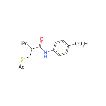 CC(=O)SCC(C(=O)Nc1ccc(C(=O)O)cc1)C(C)C